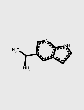 CC(N)c1cnc2[nH]ccc2c1